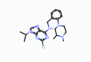 CC1CN(c2ccccc2CNc2nc(Cl)nc3c2ncn3C(C)C)CCN1C